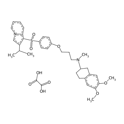 COc1cc2c(cc1OC)CC(N(C)CCCOc1ccc(S(=O)(=O)c3c(C(C)C)cn4ccccc34)cc1)CC2.O=C(O)C(=O)O